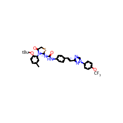 Cc1ccc(OC(C)(C)C)c(N2C(=O)CS/C2=N\C(=O)Nc2ccc(/C=C/c3ncn(-c4ccc(OC(F)(F)F)cc4)n3)cc2)c1